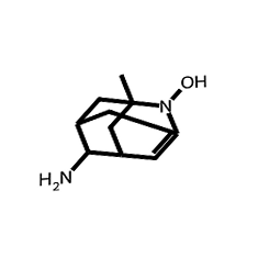 CC12CC3C=C(CC(C1)C3N)N2O